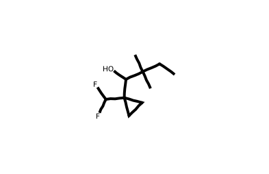 CCC(C)(C)C(O)C1(C(F)F)CC1